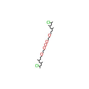 CC(Cl)CC(C)CC(C)CCCOCCCOCOCOCCCOCCCC(C)CC(C)CC(C)Cl